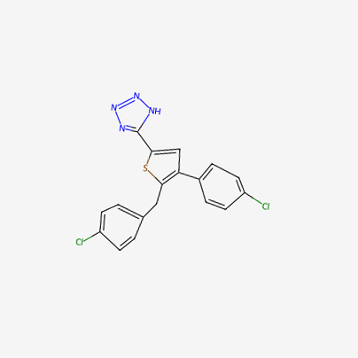 Clc1ccc(Cc2sc(-c3nnn[nH]3)cc2-c2ccc(Cl)cc2)cc1